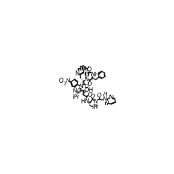 CC(C)C[C@H](NC(=O)C[C@H](O)[C@H](CC(C)C)N(C(=O)[C@H](Cc1c[nH]cn1)NC(=O)[C@H](Cc1ccccc1)NC(=O)OC(C)(C)C)c1ccc([N+](=O)[O-])cc1[N+](=O)[O-])C(=O)NC(=O)CNc1ncccn1